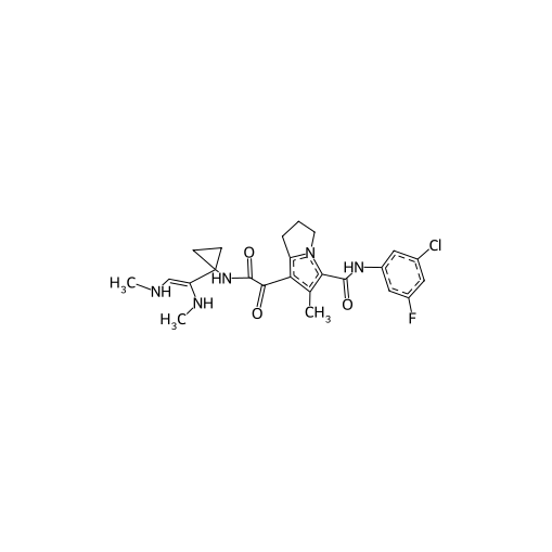 CN/C=C(\NC)C1(NC(=O)C(=O)c2c(C)c(C(=O)Nc3cc(F)cc(Cl)c3)n3c2CCC3)CC1